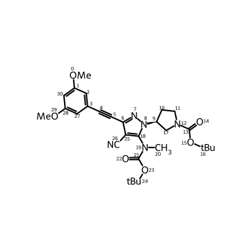 COc1cc(C#Cc2nn([C@H]3CCN(C(=O)OC(C)(C)C)C3)c(N(C)C(=O)OC(C)(C)C)c2C#N)cc(OC)c1